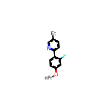 CCCOc1ccc(-c2ccc(CC)cn2)c(F)c1